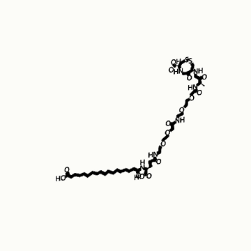 C[C@H](NC(=O)COCCOCCNC(=O)COCCOCCNC(=O)CC[C@H](NC(=O)CCCCCCCCCCCCCCCCC(=O)O)C(=O)O)C(=O)CN[C@H]1CSSC[C@@H](C(=O)O)NCC1=O